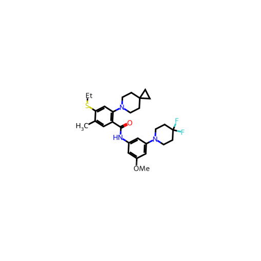 CCSc1cc(N2CCC3(CC2)CC3)c(C(=O)Nc2cc(OC)cc(N3CCC(F)(F)CC3)c2)cc1C